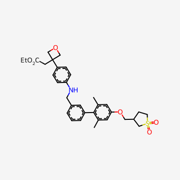 CCOC(=O)CC1(c2ccc(NCc3cccc(-c4c(C)cc(OCC5CCS(=O)(=O)C5)cc4C)c3)cc2)COC1